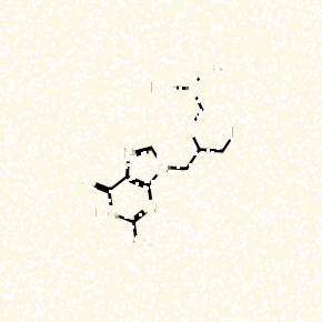 Nc1nc2c(ncn2CC(CF)OCP(O)O)c(=O)[nH]1